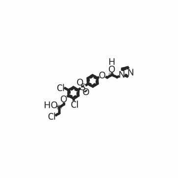 O=S(=O)(c1ccc(OC[C@@H](O)Cn2ccnc2)cc1)c1cc(Cl)c(OC[C@@H](O)CCl)c(Cl)c1